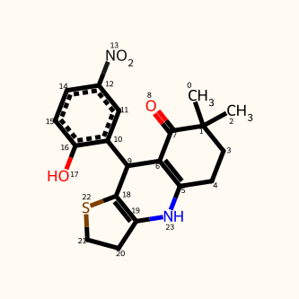 CC1(C)CCC2=C(C1=O)C(c1cc([N+](=O)[O-])ccc1O)C1=C(CCS1)N2